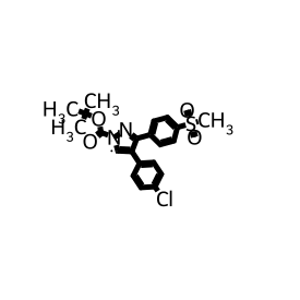 CC(C)(C)OC(=O)n1[c]c(-c2ccc(Cl)cc2)c(-c2ccc(S(C)(=O)=O)cc2)n1